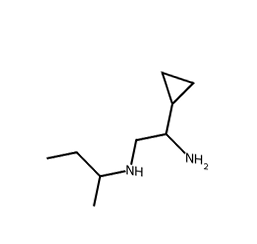 CCC(C)NCC(N)C1CC1